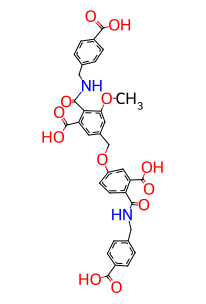 COc1cc(COc2ccc(C(=O)NCc3ccc(C(=O)O)cc3)c(C(=O)O)c2)cc(C(=O)O)c1C(=O)NCc1ccc(C(=O)O)cc1